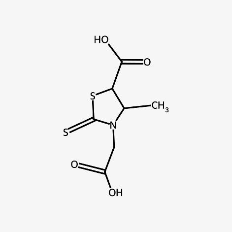 CC1C(C(=O)O)SC(=S)N1CC(=O)O